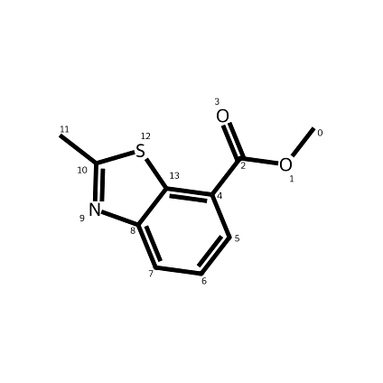 COC(=O)c1cccc2nc(C)sc12